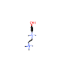 C[N+](C)(C)CC[N+](C)(C)C#CO